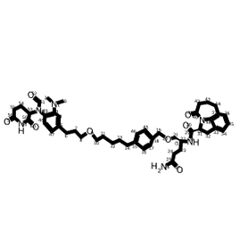 CN(C)c1cc(CCCOCCCCCc2ccc(COC[C@H](CCC(N)=O)NC(=O)[C@@H]3Cc4cccc5c4N3C(=O)CCC5)cc2)ccc1N(C=O)C1CCC(=O)NC1=O